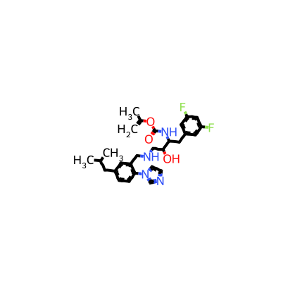 C=C(C)OC(=O)NC(Cc1cc(F)cc(F)c1)C(O)CNCc1cc(CC(C)C)ccc1-n1ccnc1